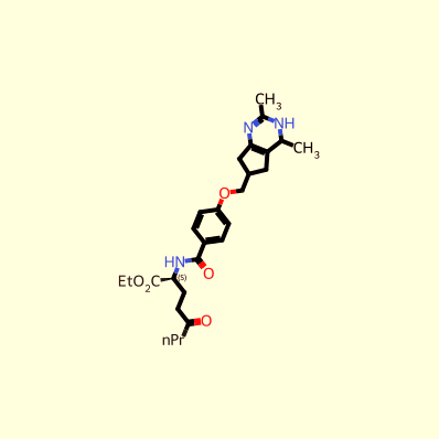 CCCC(=O)CC[C@H](NC(=O)c1ccc(OCC2CC3=C(C2)C(C)NC(C)=N3)cc1)C(=O)OCC